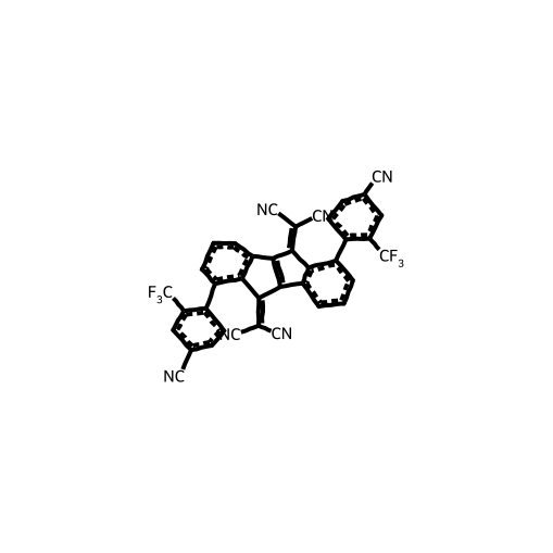 N#CC(C#N)=C1C2=C(C(=C(C#N)C#N)c3c2cccc3-c2ccc(C#N)cc2C(F)(F)F)c2cccc(-c3ccc(C#N)cc3C(F)(F)F)c21